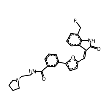 O=C1Nc2c(CF)cccc2/C1=C\c1ccc(-c2cccc(C(=O)NCCN3CCCC3)c2)o1